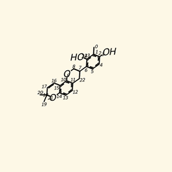 Cc1c(O)ccc(C2COc3c(ccc4c3C=CC(C)(C)O4)C2)c1O